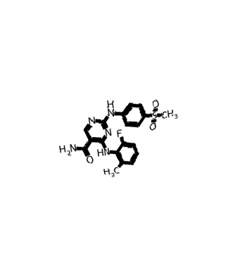 Cc1cccc(F)c1Nc1nc(Nc2ccc(S(C)(=O)=O)cc2)ncc1C(N)=O